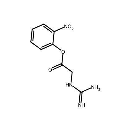 N=C(N)NCC(=O)Oc1ccccc1[N+](=O)[O-]